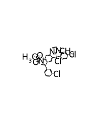 Cn1ccnc1C(Cl)(c1ccc(Cl)cc1)c1ccc2c(c1)c(-c1cccc(Cl)c1)cn2S(C)(=O)=O